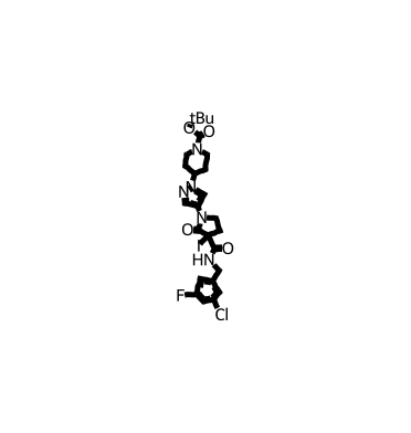 CC(C)(C)OC(=O)N1CCC(n2cc(N3CCC(I)(C(=O)NCc4cc(F)cc(Cl)c4)C3=O)cn2)CC1